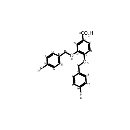 O=C(O)c1ccc(OCc2ccc(F)cc2)c(OCc2ccc(F)cc2)c1